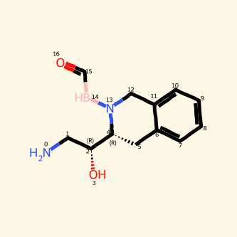 NC[C@@H](O)[C@H]1Cc2ccccc2CN1BC=O